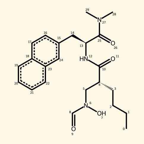 CCCC[C@H](CN(O)C=O)C(=O)N[C@@H](Cc1ccc2ccccc2c1)C(=O)N(C)C